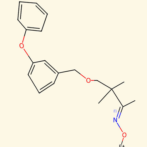 CCO/N=C(\C)C(C)(C)COCc1cccc(Oc2ccccc2)c1